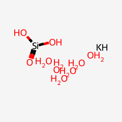 O.O.O.O.O.O.O=[Si](O)O.[KH]